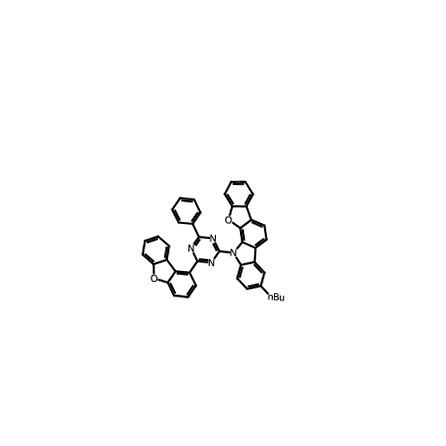 CCCCc1ccc2c(c1)c1ccc3c4ccccc4oc3c1n2-c1nc(-c2ccccc2)nc(-c2cccc3oc4ccccc4c23)n1